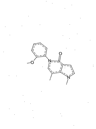 COc1ccccc1-n1cc(C)c2c(ccn2C)c1=O